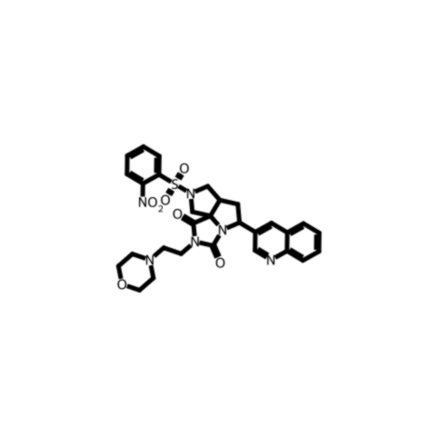 O=C1N(CCN2CCOCC2)C(=O)C23CN(S(=O)(=O)c4ccccc4[N+](=O)[O-])CC2CC(c2cnc4ccccc4c2)N13